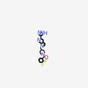 O=C(c1cccc(F)c1F)N1CCC(Cn2ccc3cc(-c4cn[nH]c4)ncc32)CC1